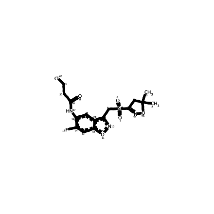 CC1(C)CC(S(=O)(=O)Cc2noc3cc(F)c(NC(=O)CCCl)cc23)=NO1